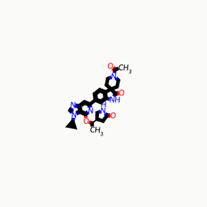 CC(=O)N1CCC2(CC1)C(=O)Nc1cc(-c3cc4ncn(C5CC5)c4c(OC(C)[C@H]4CNC(=O)C4)n3)ccc12